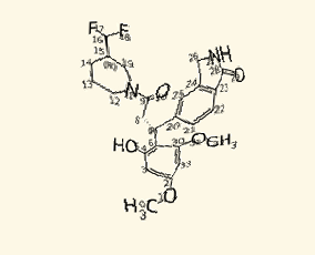 COc1cc(O)c([C@H](CC(=O)N2CCC[C@@H](C(F)F)C2)c2ccc3c(c2)CNC3=O)c(OC)c1